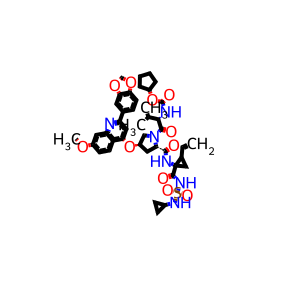 C=CC1CC1(NC(=O)[C@@H]1C[C@@H](Oc2cc(-c3ccc4c(c3)OCO4)nc3cc(OC)ccc23)CN1C(=O)[C@@H](NC(=O)OC1CCCC1)C(C)C)C(=O)NS(=O)(=O)NC1CC1